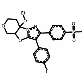 CCOC12CCOCC1Oc1c(-c3ccc(F)cc3)c(-c3ccc(S(C)(=O)=O)cc3)nn12